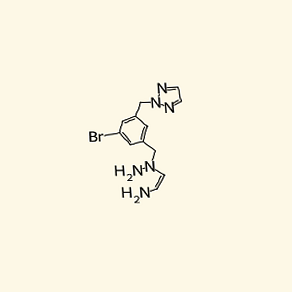 N/C=C\N(N)Cc1cc(Br)cc(Cn2nccn2)c1